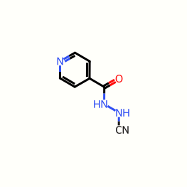 N#CNNC(=O)c1ccncc1